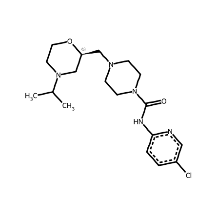 CC(C)N1CCO[C@@H](CN2CCN(C(=O)Nc3ccc(Cl)cn3)CC2)C1